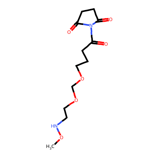 CONCCOCOCCCC(=O)N1C(=O)CCC1=O